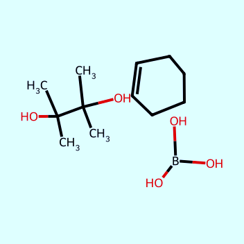 C1=CCCCC1.CC(C)(O)C(C)(C)O.OB(O)O